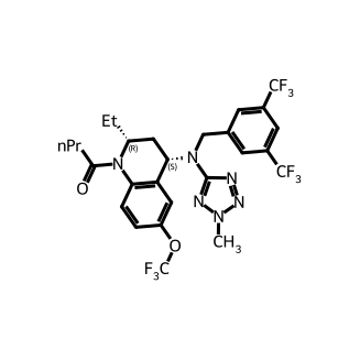 CCCC(=O)N1c2ccc(OC(F)(F)F)cc2[C@@H](N(Cc2cc(C(F)(F)F)cc(C(F)(F)F)c2)c2nnn(C)n2)C[C@H]1CC